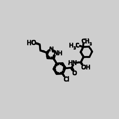 CC1(C)CCCC(C(O)NC(=O)c2cc(-c3cc(CCO)n[nH]3)ccc2Cl)C1